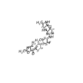 Cc1cc(Nc2nc(Nc3cc(C)c(C4CCN(C(=O)c5oc(C)nc5C)CC4)cc3F)ncc2Cl)n[nH]1